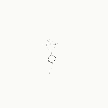 CCOc1ccc(N2C[C@H]3NCCC2[C@@H](C)C3C)cc1